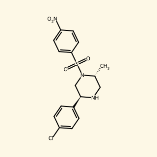 C[C@@H]1CN[C@@H](c2ccc(Cl)cc2)CN1S(=O)(=O)c1ccc([N+](=O)[O-])cc1